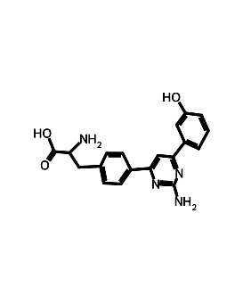 Nc1nc(-c2ccc(CC(N)C(=O)O)cc2)cc(-c2cccc(O)c2)n1